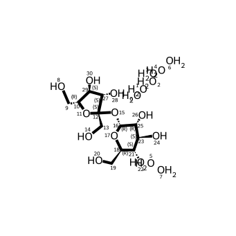 O.O.O.O.O.O.O.O.OC[C@H]1O[C@@](CO)(O[C@H]2O[C@H](CO)[C@@H](O)[C@H](O)[C@H]2O)[C@@H](O)[C@@H]1O